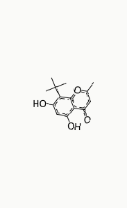 Cc1cc(=O)c2c(O)cc(O)c(C(C)(C)C)c2o1